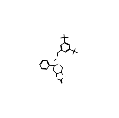 C[C@@H](OC[C@@]1(c2ccccc2)C[C@@H]2NC(=O)NC2CN1)c1cc(C(F)(F)F)cc(C(F)(F)F)c1